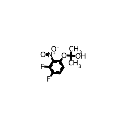 CC(C)(O)Oc1ccc(F)c(F)c1[N+](=O)[O-]